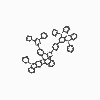 c1ccc(-c2cc(-c3ccccc3)nc(-c3ccc(-n4c5ccccc5c5cc6c7ccccc7n(-c7ccccc7)c6cc54)c(-c4nc(-c5ccccc5)nc(-c5ccc(-c6cc7c8c(c6)N(c6ccccc6)c6ccccc6B8c6ccccc6N7c6ccccc6)cc5)n4)c3)n2)cc1